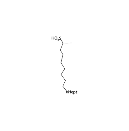 CCCCCCCCCCCCCCC(C)S(=O)(=O)O